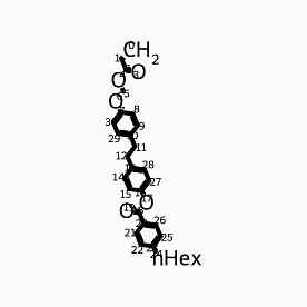 C=CC(=O)OCOc1ccc(CCc2ccc(OC(=O)c3ccc(CCCCCC)cc3)cc2)cc1